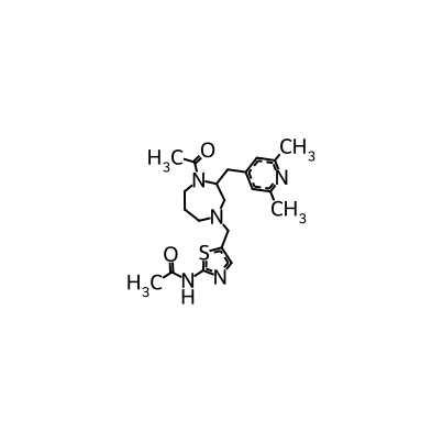 CC(=O)Nc1ncc(CN2CCCN(C(C)=O)C(Cc3cc(C)nc(C)c3)C2)s1